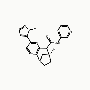 Cn1nccc1-c1ccc2c(n1)C(C(=O)Nc1cnccn1)[C@H]1CCN2C1